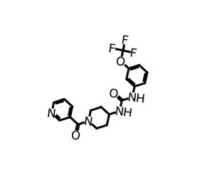 O=C(Nc1cccc(OC(F)(F)F)c1)NC1CCN(C(=O)c2cccnc2)CC1